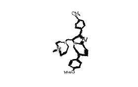 COc1ccc(-c2ccc3nc(-c4ccc(C#N)cc4)c(CN4CCCN(C)CC4)n3c2)cc1